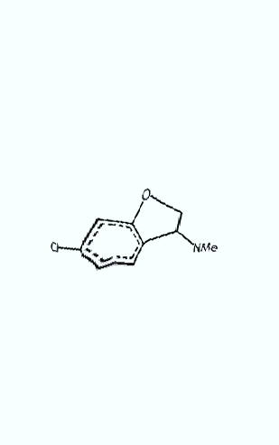 CNC1COc2cc(Cl)ccc21